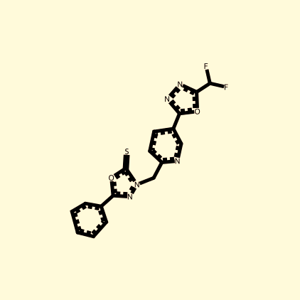 FC(F)c1nnc(-c2ccc(Cn3nc(-c4ccccc4)oc3=S)nc2)o1